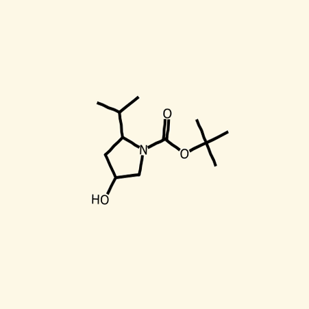 CC(C)C1CC(O)CN1C(=O)OC(C)(C)C